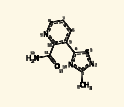 Cc1nsc(-c2cccnc2C(N)=O)n1